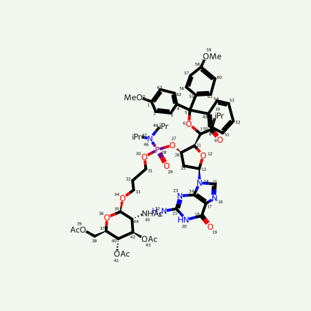 COc1ccc(C(OC(C(=O)C(C)C)[C@H]2O[C@@H](n3cnc4c(=O)[nH]c(N)nc43)C[C@@H]2OP(=O)(OCCCO[C@@H]2O[C@H](COC(C)=O)[C@@H](OC(C)=O)[C@H](OC(C)=O)[C@H]2NC(C)=O)N(C(C)C)C(C)C)(c2ccccc2)c2ccc(OC)cc2)cc1